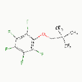 CC(COc1c(F)c(F)c(F)c(F)c1F)(C(F)(F)F)C(F)(F)F